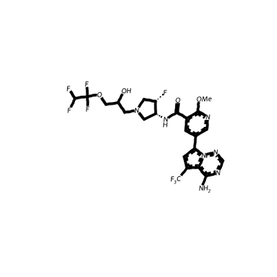 COc1ncc(-c2cc(C(F)(F)F)c3c(N)ncnn23)cc1C(=O)N[C@@H]1CN(CC(O)COC(F)(F)C(F)F)C[C@@H]1F